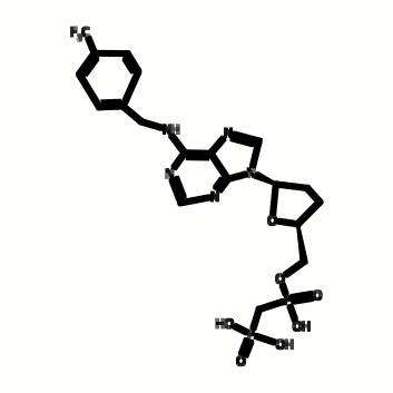 O=P(O)(O)CP(=O)(O)OC[C@@H]1CC[C@H](n2cnc3c(NCc4ccc(C(F)(F)F)cc4)ncnc32)O1